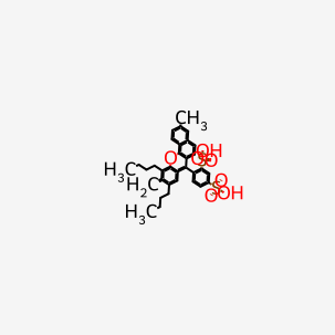 C=c1c(CCCC)cc2c(c1CCCC)Oc1c(ccc3cc(C)ccc13)C=2c1ccc(S(=O)(=O)O)cc1S(=O)(=O)O